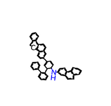 C1=CC(Nc2ccc3c(ccc4ccccc43)c2)C(c2ccccc2-c2ccccc2)C=C1c1ccc2c(ccc3c4ccccc4ccc23)c1